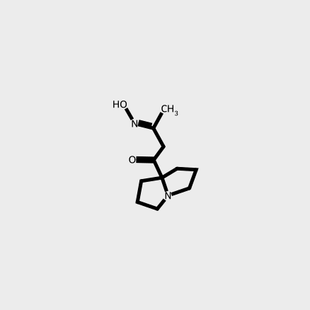 CC(CC(=O)C12CCCN1CCC2)=NO